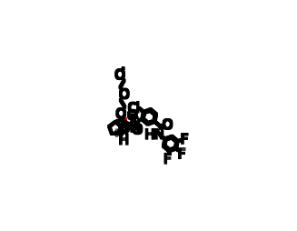 COCCOCCOC[C@@]1(O)C2CC[C@H]1C[C@H](S(=O)(=O)c1cc(C(=O)Nc3cc(F)c(F)c(F)c3)ccc1Cl)C2